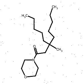 CCCCCC(C)(CCCCC)CC(=O)N1CCOCC1